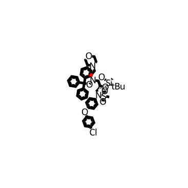 CC(C)(C)[Si](C)(C)O[C@@H](CN(c1ccc(Oc2ccc(Cl)cc2)cc1)S(C)(=O)=O)C(=O)N(CCN1CCOCC1)OC(c1ccccc1)(c1ccccc1)c1ccccc1